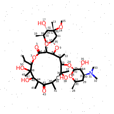 CCC1OC(=O)C(C)C(O[C@H]2C[C@@](C)(OC)[C@@H](O)[C@H](C)O2)C(C)C(O[C@@H]2O[C@H](C)C[C@H](N(C)C)[C@H]2O)C(C)(O)CC(C)C(=O)C(C)C(O)C1(C)O